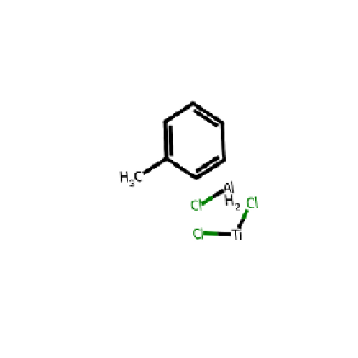 Cc1ccccc1.[AlH2][Cl].[Cl][Ti][Cl]